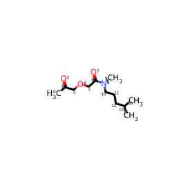 CC(=O)COCC(=O)N(C)CCCC(C)C